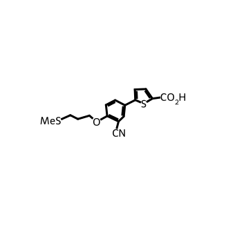 CSCCCOc1ccc(-c2ccc(C(=O)O)s2)cc1C#N